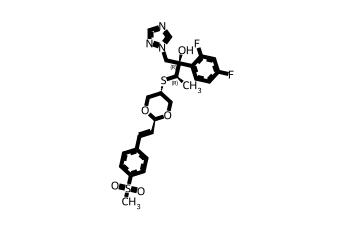 C[C@@H](S[C@H]1CO[C@H](C=Cc2ccc(S(C)(=O)=O)cc2)OC1)[C@](O)(Cn1cncn1)c1ccc(F)cc1F